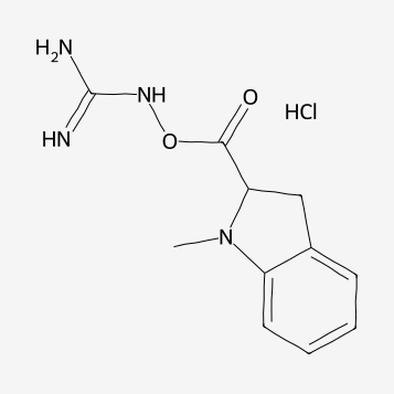 CN1c2ccccc2CC1C(=O)ONC(=N)N.Cl